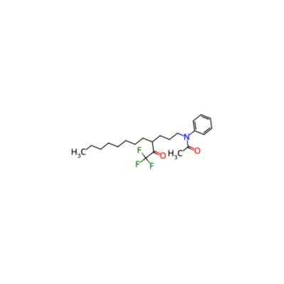 CCCCCCCCC(CCCN(C(C)=O)c1ccccc1)C(=O)C(F)(F)F